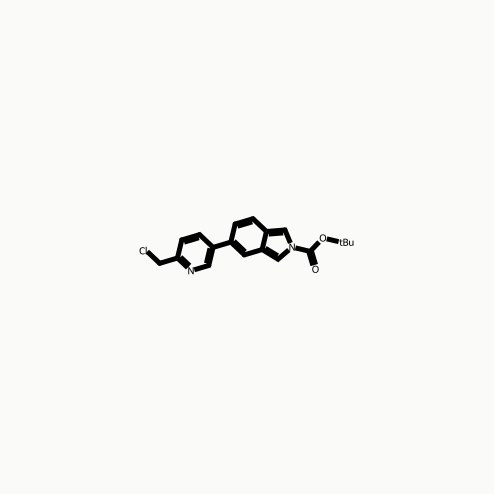 CC(C)(C)OC(=O)n1cc2ccc(-c3ccc(CCl)nc3)cc2c1